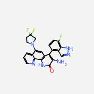 Nc1c(-c2ccc(F)c3[nH]ncc23)c2cc(N3CCC(F)(F)C3)c3cccnc3c2[nH]c1=O